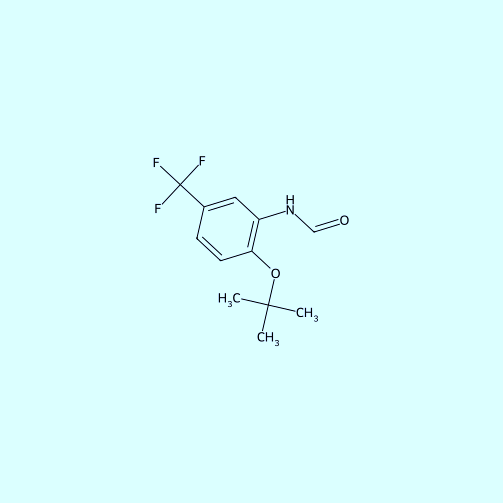 CC(C)(C)Oc1ccc(C(F)(F)F)cc1NC=O